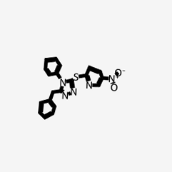 O=[N+]([O-])c1ccc(Sc2nnc(Cc3ccccc3)n2-c2ccccc2)nc1